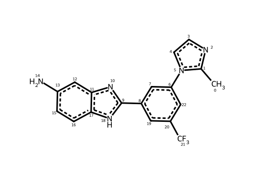 Cc1nccn1-c1cc(-c2nc3cc(N)ccc3[nH]2)cc(C(F)(F)F)c1